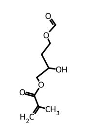 C=C(C)C(=O)OCC(O)CCOC=O